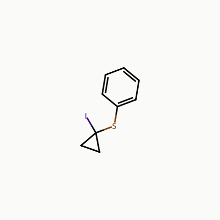 IC1(Sc2ccccc2)CC1